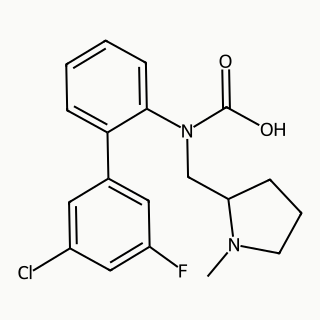 CN1CCCC1CN(C(=O)O)c1ccccc1-c1cc(F)cc(Cl)c1